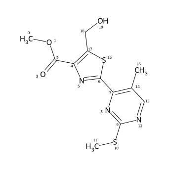 COC(=O)c1nc(-c2nc(SC)ncc2C)sc1CO